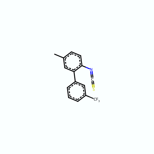 Cc1ccc(N=C=S)c(-c2cccc(C(F)(F)F)c2)c1